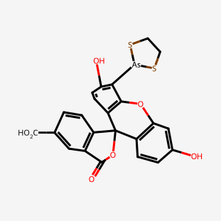 O=C(O)c1ccc2c(c1)C(=O)OC21c2ccc(O)cc2Oc2c1ccc(O)c2[As]1SCCS1